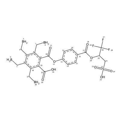 BCc1c(CB)c(CB)c(C(=O)Oc2ccc(C(=O)OC(CS(=O)(=O)O)C(F)(F)F)cc2)c(C(=O)O)c1CB